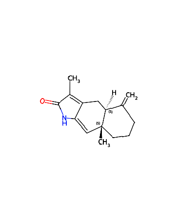 C=C1CCC[C@]2(C)C=C3NC(=O)C(C)=C3C[C@@H]12